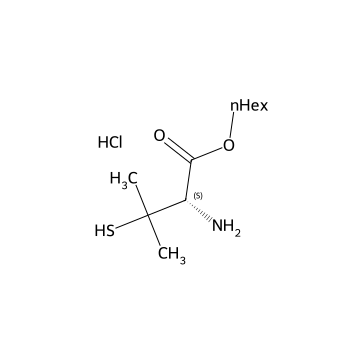 CCCCCCOC(=O)[C@H](N)C(C)(C)S.Cl